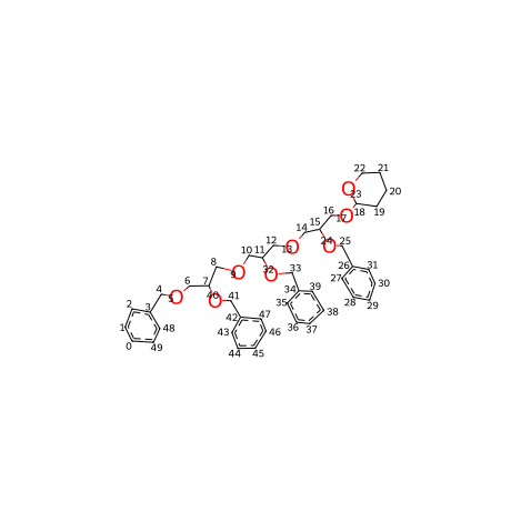 c1ccc(COCC(COCC(COCC(COC2CCCCO2)OCc2ccccc2)OCc2ccccc2)OCc2ccccc2)cc1